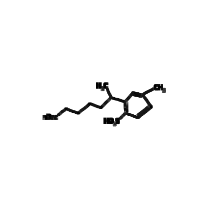 CCCCCCCCCCCCCCC(C)c1cc(C)ccc1S(=O)(=O)O